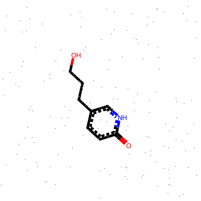 O=c1ccc(CCCO)c[nH]1